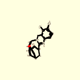 Clc1ccc2c(c1Cl)CN1C(=N2)C2CC3CC(C2)CC1C3